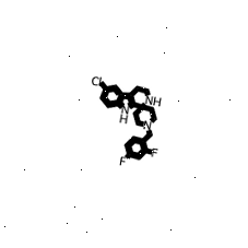 Fc1ccc(CN2CCC3(CC2)NCCc2c3[nH]c3ccc(Cl)cc23)c(F)c1